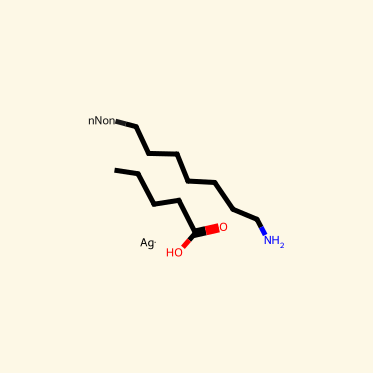 CCCCC(=O)O.CCCCCCCCCCCCCCCCN.[Ag]